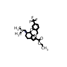 CCOC(=O)c1cc2c(n1Cc1ccc(C(F)(F)F)cc1)C(=O)/C(=C/N(C)C)CC2